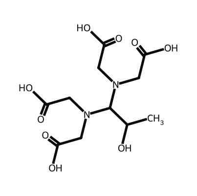 CC(O)C(N(CC(=O)O)CC(=O)O)N(CC(=O)O)CC(=O)O